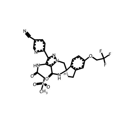 CS(=O)(=O)CC(=O)Nc1c(-c2ccc(C#N)cn2)nn2c1C(=O)N[C@@]1(CCc3cc(OCC(F)(F)F)ccc31)C2